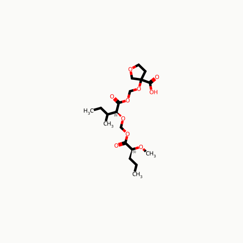 CCC[C@H](OC)C(=O)OCO[C@H](C(=O)OCOC1(C(=O)O)CCOC1)C(C)CC